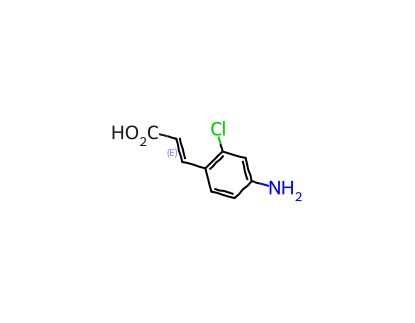 Nc1ccc(/C=C/C(=O)O)c(Cl)c1